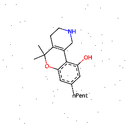 CCCCCc1cc(O)c2c(c1)OC(C)(C)C1=C2CNCC1